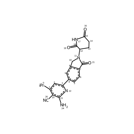 CC(C)c1cc(-c2ccc3c(c2)CN(C2CCC(=O)NC2=O)C3=O)nc(N)c1C#N